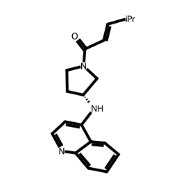 CC(C)/C=C/C(=O)N1CC[C@@H](Nc2ccnc3ccccc23)C1